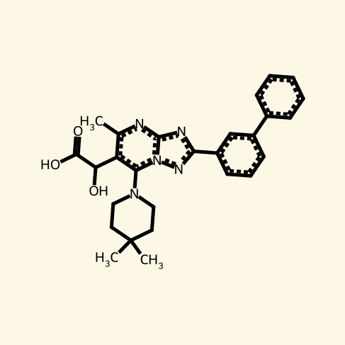 Cc1nc2nc(-c3cccc(-c4ccccc4)c3)nn2c(N2CCC(C)(C)CC2)c1C(O)C(=O)O